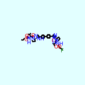 CCCOC(=O)N[C@H](C(=O)N1CCC[C@H]1c1ncc(-c2ccc(-c3ccc(-c4cnc([C@@H]5CCCN5C(=O)[C@@H](NC(=O)OCCF)C(C)C)[nH]4)cc3)cc2)[nH]1)C(C)C